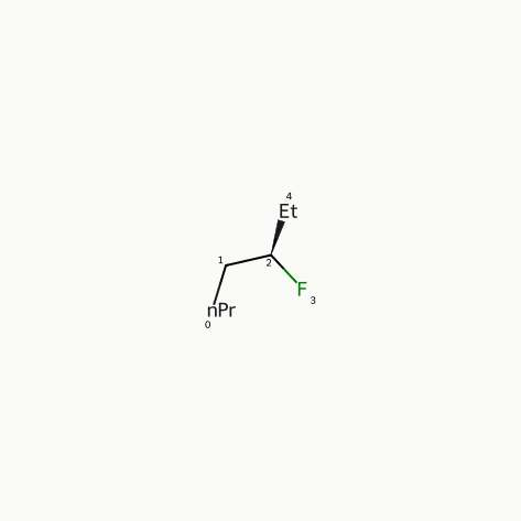 CCCC[C@H](F)CC